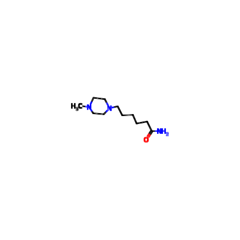 CN1CCN(CCCCCC(N)=O)CC1